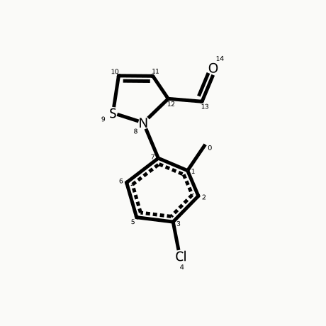 Cc1cc(Cl)ccc1N1SC=CC1C=O